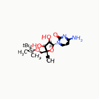 C#C[C@]1(CO[Si](C)(C)C(C)(C)C)O[C@@H](n2ccc(N)nc2=O)[C@H](O)[C@@H]1O